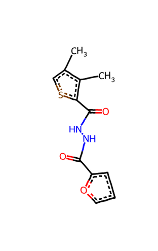 Cc1csc(C(=O)NNC(=O)c2ccco2)c1C